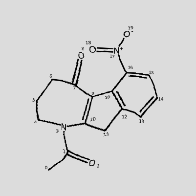 CC(=O)N1CCCC(=O)C2=C1Cc1cccc([N+](=O)[O-])c12